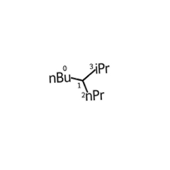 CCCCC(CCC)C(C)C